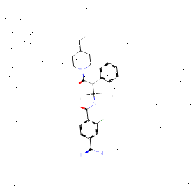 CC(C)(NC(=O)c1ccc(C(=N)N)cc1Cl)C(C(=O)N1CCC(CC(=O)O)CC1)c1ccccc1